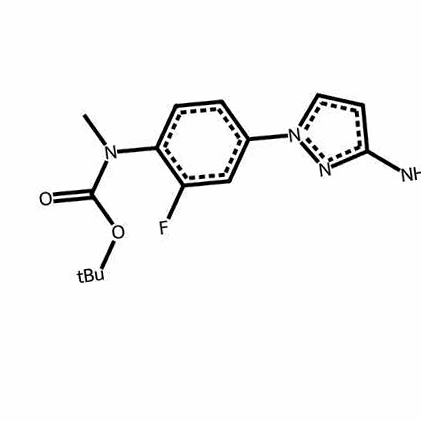 CN(C(=O)OC(C)(C)C)c1ccc(-n2ccc(N)n2)cc1F